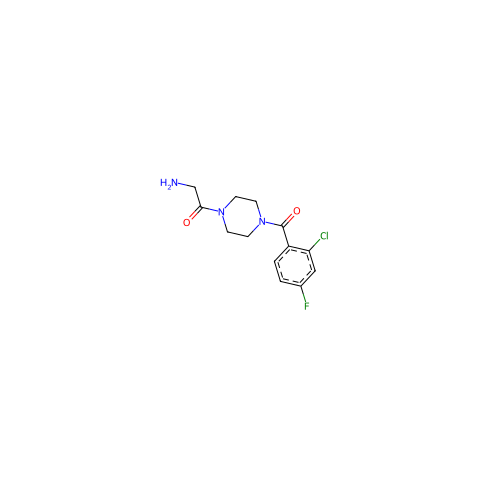 NCC(=O)N1CCN(C(=O)c2ccc(F)cc2Cl)CC1